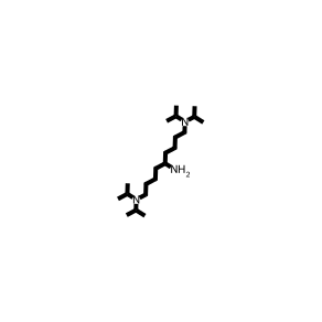 CC(C)N(CCCCC(N)CCCCN(C(C)C)C(C)C)C(C)C